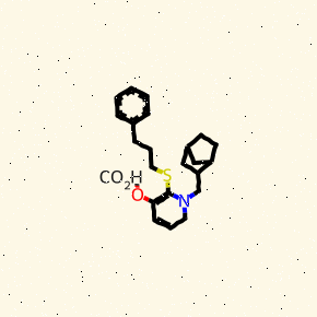 O=C(O)OC1=C(SCCCc2ccccc2)N(CC2CC3CCC2C3)CC=C1